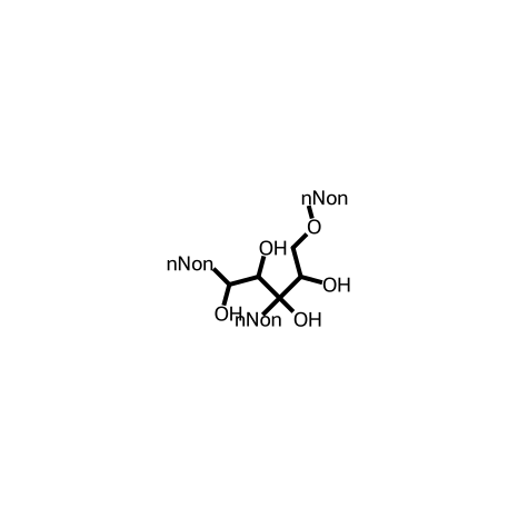 CCCCCCCCCOCC(O)C(O)(CCCCCCCCC)C(O)C(O)CCCCCCCCC